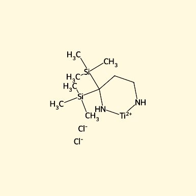 C[Si](C)(C)C1([Si](C)(C)C)CC[NH][Ti+2][NH]1.[Cl-].[Cl-]